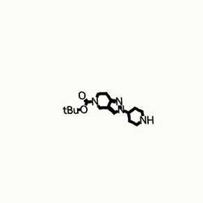 CC(C)(C)OC(=O)N1CCc2nn(C3CCNCC3)cc2C1